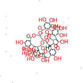 O=C1OCC2OC(=O)c3cc(O)c(O)c(O)c3-c3c(O)c(O)c(O)c4c3C(=O)OC(C2OC(=O)c2cc(O)c(O)c(O)c2-c2c1cc(O)c(O)c2O)C1OC(=O)C2C4=C(O)C(=O)C23Oc2cc(O)c4c(c2[C@H]13)O[C@H](c1ccc(O)c(O)c1)[C@@H](O)C4